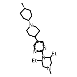 CCC1CN(C)CC(CC)N1c1ncc(C2CCN([C@H]3CC[C@H](C)CC3)CC2)cn1